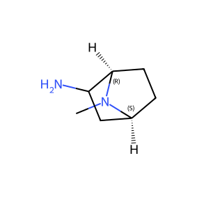 CN1[C@H]2CC[C@@H]1C(N)C2